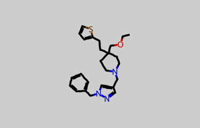 CCOCC1(CCc2cccs2)CCN(Cc2cnn(Cc3ccccc3)c2)CC1